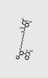 O=C(O)NC(c1ccccc1)c1cc(OCCCCCCCCCNCC(O)c2ccc(O)c3[nH]c(=O)ccc23)cc(-c2cccs2)c1